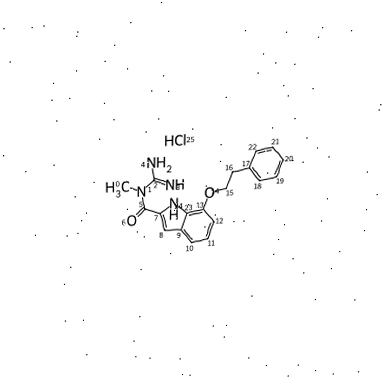 CN(C(=N)N)C(=O)c1cc2cccc(OCCc3ccccc3)c2[nH]1.Cl